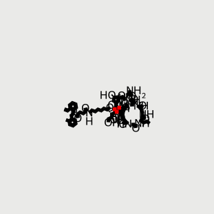 C=Cc1ccccc1N(Cc1ccccc1C)C(=O)CCC(=O)NCCCCCCOc1ccc2c3c([nH]c2c1)[S+]([O-])C[C@H]1NC(=O)CNC(=O)[C@H]([C@H](C)CC)NC(=O)CNC(=O)[C@H](C3)NC(=O)[C@H]([C@@H](C)[C@@H](O)CO)NC(=O)C2C[C@@H](O)CN2C(=O)[C@H](CC(N)=O)NC1=O